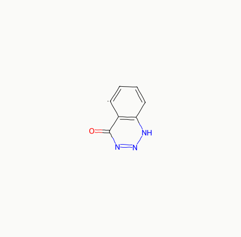 O=c1nn[nH]c2ccc[c]c12